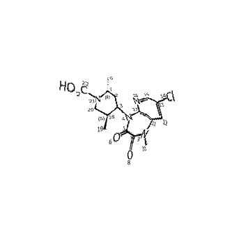 C[C@@H]1CC(n2c(=O)c(=O)n(C)c3cc(Cl)cnc32)[C@@H](C)CN1C(=O)O